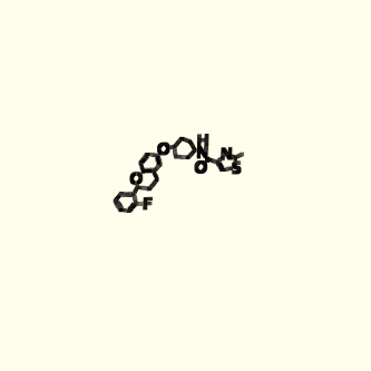 Cc1nc(C(=O)N[C@H]2CC[C@H](Oc3ccc4c(c3)CCC(c3ccccc3F)O4)CC2)cs1